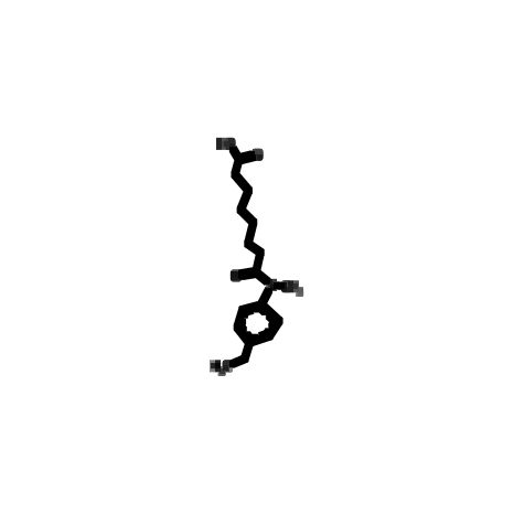 CCc1ccc(N(C)C(=O)CCCCCCC(=O)O)cc1